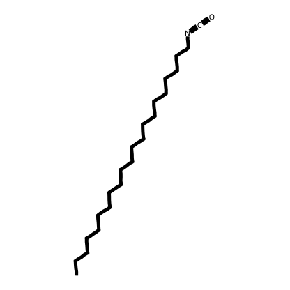 CCCCCCCCCCCCCCCCCCCCCN=C=O